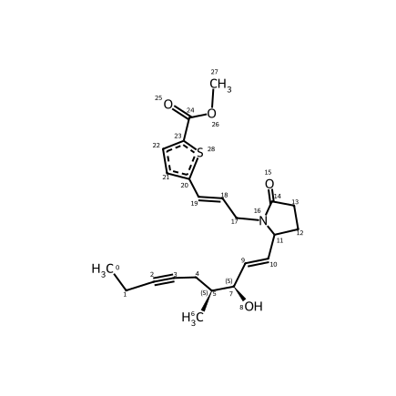 CCC#CC[C@H](C)[C@H](O)C=CC1CCC(=O)N1CC=Cc1ccc(C(=O)OC)s1